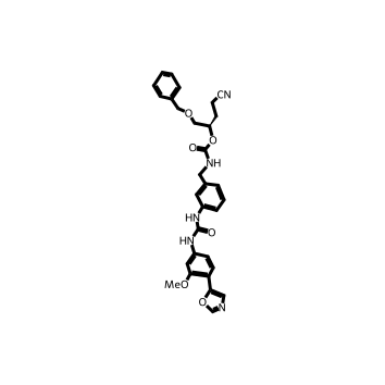 COc1cc(NC(=O)Nc2cccc(CNC(=O)O[C@H](CCC#N)COCc3ccccc3)c2)ccc1-c1cnco1